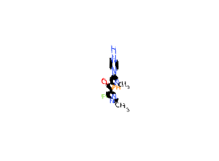 Cc1cn2cc(/C(=C/C=O)PC3C=CC(N4CCNCC4)=CN3C)cc(F)c2n1